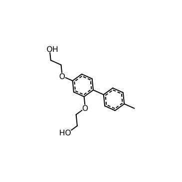 Cc1ccc(-c2ccc(OCCO)cc2OCCO)cc1